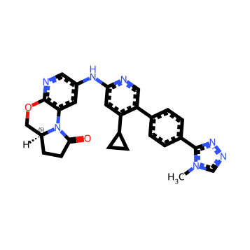 Cn1cnnc1-c1ccc(-c2cnc(Nc3cnc4c(c3)N3C(=O)CC[C@H]3CO4)cc2C2CC2)cc1